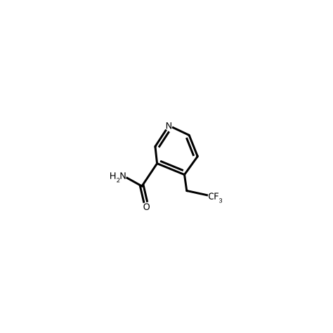 NC(=O)c1cnccc1CC(F)(F)F